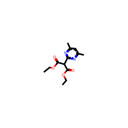 CCOC(=O)C(C(=O)OCC)c1nc(C)cc(C)n1